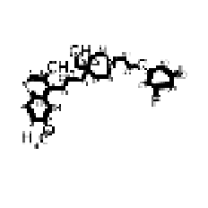 COc1ccc2ncc(C)c(CCCC3(CO)CCN(CCOc4cc(F)cc(F)c4)CC3)c2c1